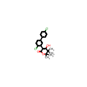 CC1(C)OC(=O)C(c2cc(-c3ccc(Cl)cc3)ccc2Cl)=C(O)C1(C)C